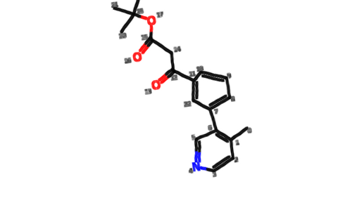 Cc1ccncc1-c1cccc(C(=O)CC(=O)OC(C)(C)C)c1